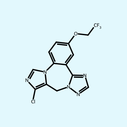 FC(F)(F)COc1ccc2c(c1)-c1ncnn1Cc1c(Cl)ncn1-2